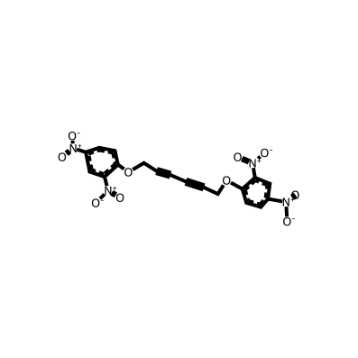 O=[N+]([O-])c1ccc(OCC#CC#CCOc2ccc([N+](=O)[O-])cc2[N+](=O)[O-])c([N+](=O)[O-])c1